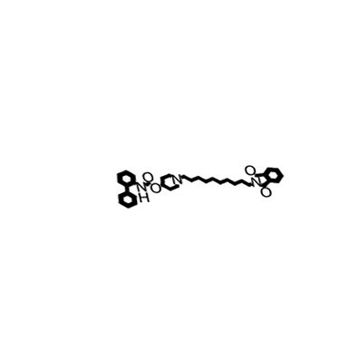 O=C(Nc1ccccc1-c1ccccc1)OC1CCN(CCCCCCCCCCN2C(=O)c3ccccc3C2=O)CC1